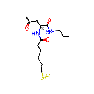 CCCNC(=O)[C@H](CC(C)=O)NC(=O)CCCCCS